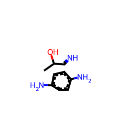 CC(O)C=N.Nc1ccc(N)cc1